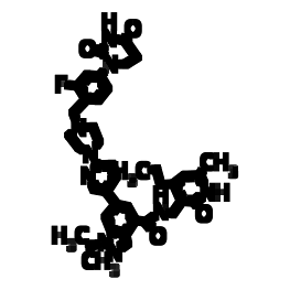 CCCc1cc(C)[nH]c(=O)c1CNC(=O)c1cc(-c2ccc(N3CCN(Cc4ccc(N5CCC(=O)NC5=O)cc4F)CC3)nc2)cc2c1cnn2C(C)C